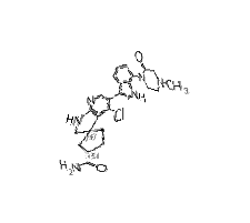 CN1CCN(c2cccc3c(-c4cnc5c(c4Cl)[C@@]4(CC[C@H](C(N)=O)C4)CN5)c[nH]c23)C(=O)C1